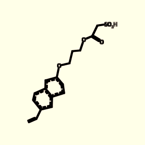 C=Cc1ccc2cc(OCCCOC(=O)CS(=O)(=O)O)ccc2c1